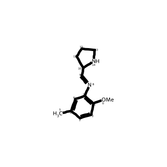 COc1ccc(C)cc1N=CC1CCCN1